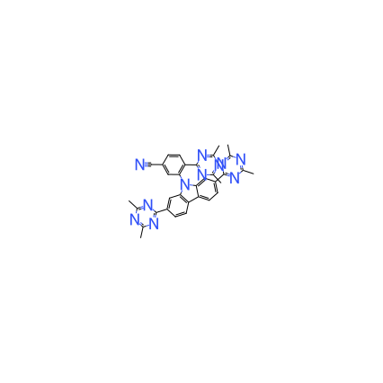 Cc1nc(C)nc(-c2ccc3c4ccc(-c5nc(C)nc(C)n5)cc4n(-c4cc(C#N)ccc4-c4nc(C)nc(C)n4)c3c2)n1